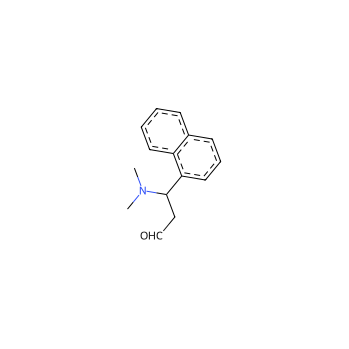 CN(C)C(CC=O)c1cccc2ccccc12